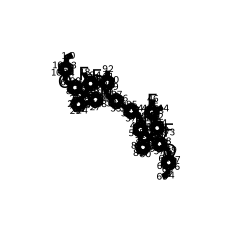 C=Cc1ccc(Oc2ccc(C3(c4cc(F)cc(F)c4)c4ccccc4-c4ccc(N(c5ccc(-c6ccc(N(c7ccc(C)c(F)c7)c7ccc8c(c7)C(c7ccc(Oc9ccc(C=C)cc9)cc7)(c7cc(F)cc(F)c7)c7ccccc7-8)cc6)cc5)c5ccc(C)c(F)c5)cc43)cc2)cc1